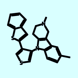 Cc1ccc2c(c1)c1c(n2-c2cscc2-c2cc3ccccc3s2)CCN(C)C1